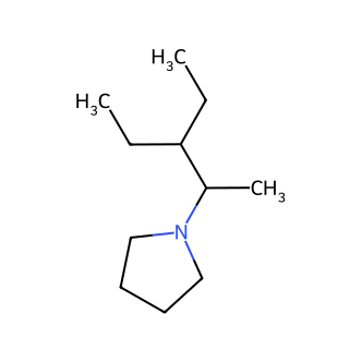 CCC(CC)C(C)N1CCCC1